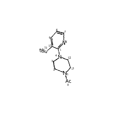 CC(=O)N1CCN(c2ncccc2C(C)(C)C)CC1